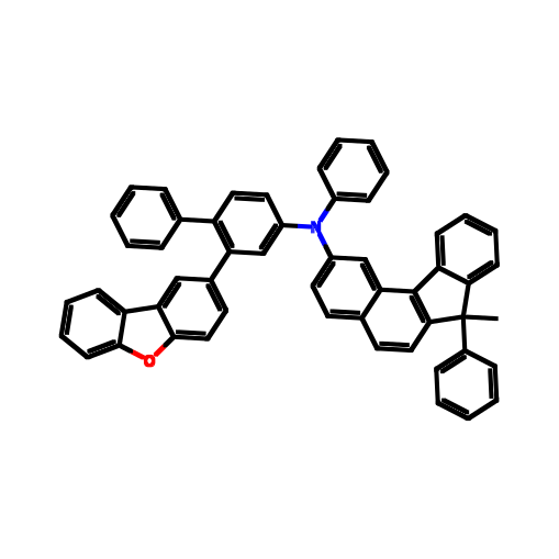 CC1(c2ccccc2)c2ccccc2-c2c1ccc1ccc(N(c3ccccc3)c3ccc(-c4ccccc4)c(-c4ccc5oc6ccccc6c5c4)c3)cc21